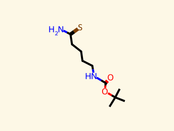 CC(C)(C)OC(=O)NCCCCC(N)=S